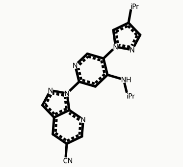 CC(C)Nc1cc(-n2ncc3cc(C#N)cnc32)ncc1-n1cc(C(C)C)cn1